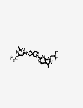 Cc1nc(N2CC3(CCN(c4ncc5c(C)nn(CC(F)F)c5n4)C3)C2)cc(C(F)(F)F)n1